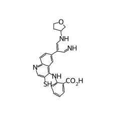 N=C/C(=C\NC1CCOC1)c1ccc2ncc(S)c(Nc3ccccc3C(=O)O)c2c1